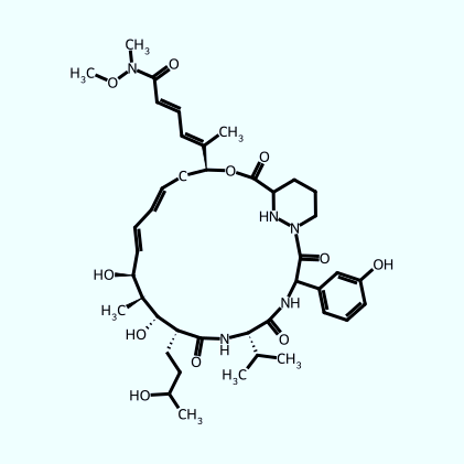 CON(C)C(=O)/C=C/C=C(\C)[C@@H]1C/C=C/C=C/[C@H](O)[C@H](C)[C@@H](O)[C@@H](CCC(C)O)C(=O)N[C@@H](C(C)C)C(=O)NC(c2cccc(O)c2)C(=O)N2CCCC(N2)C(=O)O1